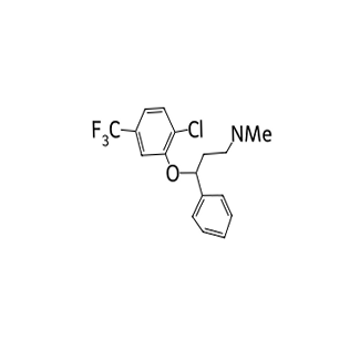 CNCCC(Oc1cc(C(F)(F)F)ccc1Cl)c1ccccc1